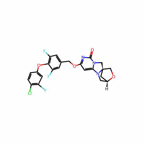 O=c1nc(OCc2cc(F)c(Oc3ccc(Cl)c(F)c3)c(F)c2)cc2n1C[C@]13CO[C@H](CN21)C3